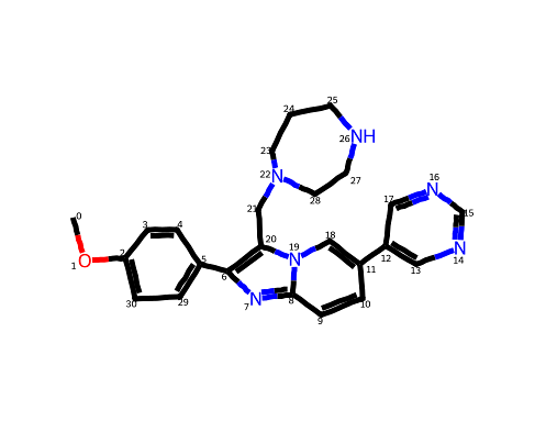 COc1ccc(-c2nc3ccc(-c4cncnc4)cn3c2CN2CCCNCC2)cc1